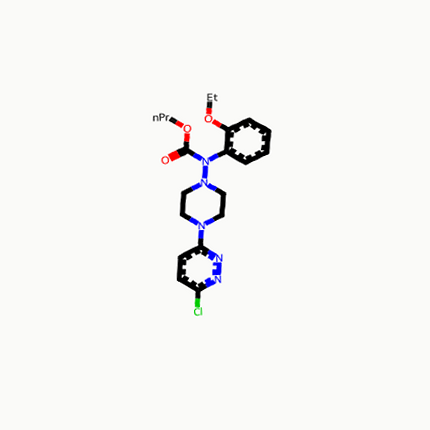 CCCOC(=O)N(c1ccccc1OCC)N1CCN(c2ccc(Cl)nn2)CC1